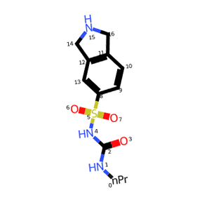 CCCNC(=O)NS(=O)(=O)c1ccc2c(c1)CNC2